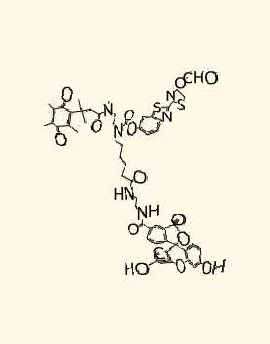 CC1=C(C)C(=O)C(C(C)(C)CC(=O)N(C)CCN(CCCCCC(=O)NCCNC(=O)c2ccc3c(c2)C(=O)OC32c3ccc(O)cc3Oc3cc(O)ccc32)C(=O)Oc2ccc3nc(C4=NC(OC=O)CS4)sc3c2)=C(C)C1=O